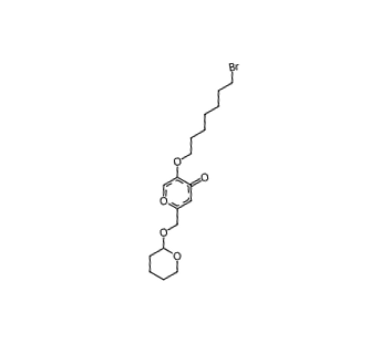 O=c1cc(COC2CCCCO2)occ1OCCCCCCCBr